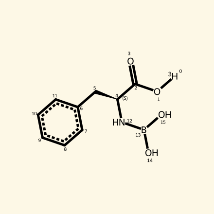 [3H]OC(=O)[C@H](Cc1ccccc1)NB(O)O